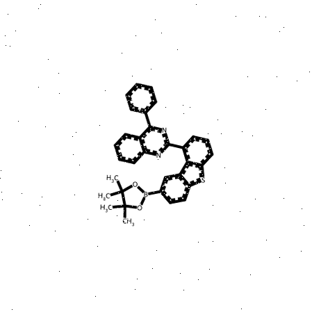 CC1(C)OB(c2ccc3sc4cccc(-c5nc(-c6ccccc6)c6ccccc6n5)c4c3c2)OC1(C)C